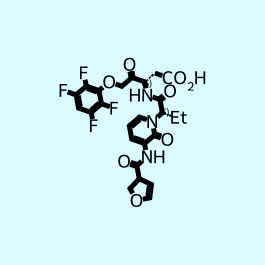 CC[C@@H](C(=O)N[C@@H](CC(=O)O)C(=O)COc1c(F)c(F)cc(F)c1F)n1cccc(NC(=O)C2C=COC2)c1=O